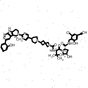 C#Cc1cc(O)c(CNC(=O)[C@@H]2C[C@@H](O)CN2C(=O)[C@@H](NC(=O)N2CC3(CC(N4CCC(c5cnc(N6CCc7[nH]c8nnc(-c9ccccc9O)cc8c7[C@H]6C)nc5)CC4)C3)C2)C(C)(C)C)c(Cl)c1